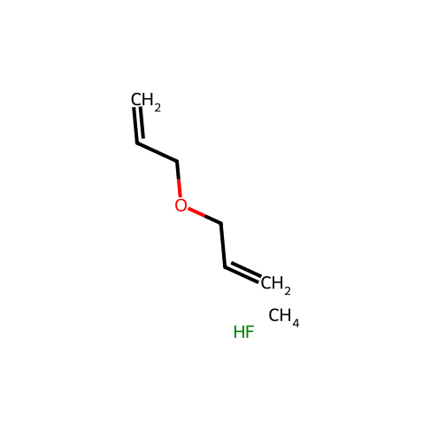 C.C=CCOCC=C.F